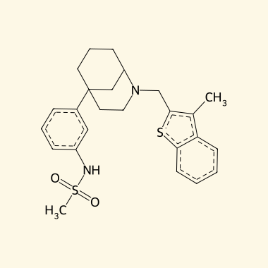 Cc1c(CN2CCC3(c4cccc(NS(C)(=O)=O)c4)CCCC2C3)sc2ccccc12